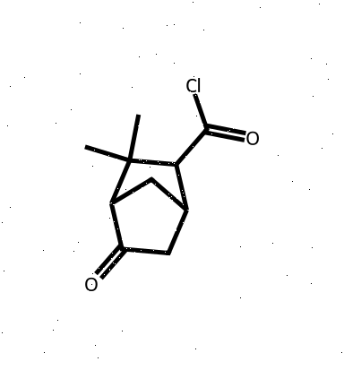 CC1(C)C2CC(CC2=O)C1C(=O)Cl